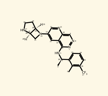 Cc1c([C@@H](C)Nc2nncc3ncc(N4C[C@H]5NCC[C@H]54)cc23)cccc1C(F)(F)F